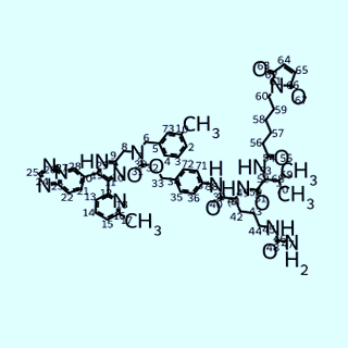 Cc1cccc(CN(Cc2nc(-c3cccc(C)n3)c(-c3ccc4ncnn4c3)[nH]2)C(=O)OCc2ccc(NC(=O)[C@H](CCCNC(N)=O)NC(=O)C(NC(=O)CCCCCN3C(=O)C=CC3=O)C(C)C)cc2)c1